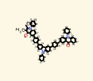 C=Cc1c(C)c(=O)c2cc(-c3ccc(-c4ccc5c(c4)c4cc(-c6ccc(-c7ccc8c(c7)c(=O)c7ccccc7n8-c7ccccc7)cc6)ccc4n5-c4ccccc4)cc3)ccc2n1-c1ccccc1